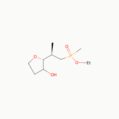 CCOP(C)(=O)C[C@H](C)[C@H]1OCCC1O